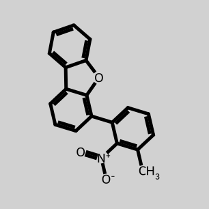 Cc1cccc(-c2cccc3c2oc2ccccc23)c1[N+](=O)[O-]